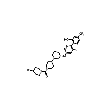 Cc1cc(N[C@@H]2CCCN(C3CCN(C(=O)N4CCC(O)CC4)CC3)C2)nnc1-c1ccc(C(F)(F)F)cc1O